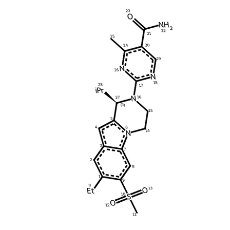 CCc1cc2cc3n(c2cc1S(C)(=O)=O)CCN(c1ncc(C(N)=O)c(C)n1)[C@@H]3C(C)C